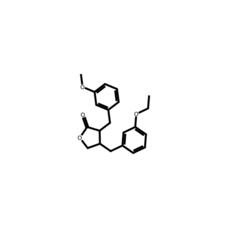 CCOc1cccc(CC2COC(=O)C2Cc2cccc(OC)c2)c1